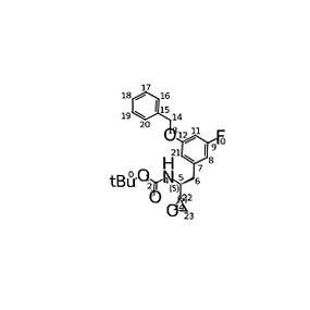 CC(C)(C)OC(=O)N[C@@H](Cc1cc(F)cc(OCc2ccccc2)c1)[C@H]1CO1